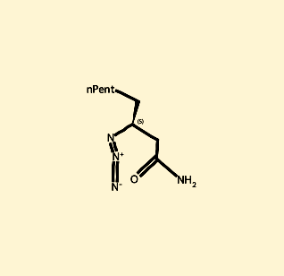 CCCCCC[C@@H](CC(N)=O)N=[N+]=[N-]